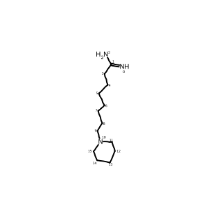 N=C(N)CCCCCCCN1CCCCC1